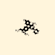 CCc1nn(C)c2cc(-c3nc(N4CCOCC4)nc(N)c3-c3ccc(Cl)cc3)ccc12